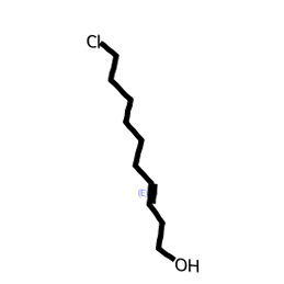 OCC/C=C/CCCCCCCl